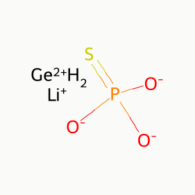 [GeH2+2].[Li+].[O-]P([O-])([O-])=S